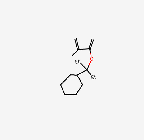 C=C(C)C(=C)OC(CC)(CC)C1CCCCC1